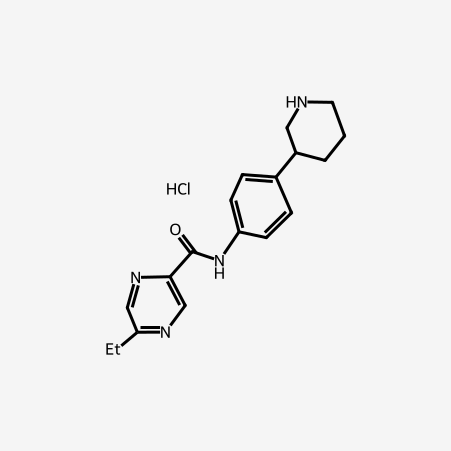 CCc1cnc(C(=O)Nc2ccc(C3CCCNC3)cc2)cn1.Cl